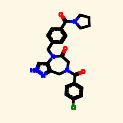 O=C(c1ccc(CN2C(=O)CN(C(=O)c3ccc(Cl)cc3)Cc3n[nH]cc32)cc1)N1CCCC1